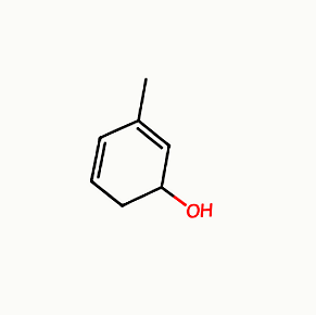 CC1=CC(O)CC=C1